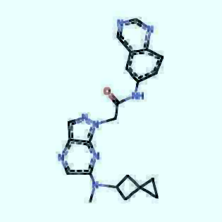 CN(c1cnc2cnn(CC(=O)Nc3ccc4ncncc4c3)c2n1)C1CC2(CC2)C1